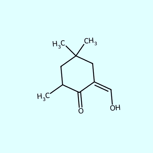 CC1CC(C)(C)CC(=CO)C1=O